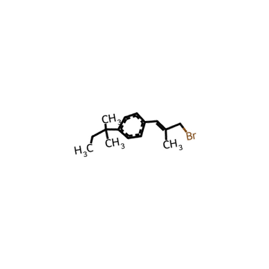 CCC(C)(C)c1ccc(/C=C(\C)CBr)cc1